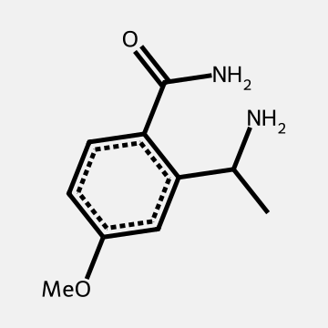 COc1ccc(C(N)=O)c(C(C)N)c1